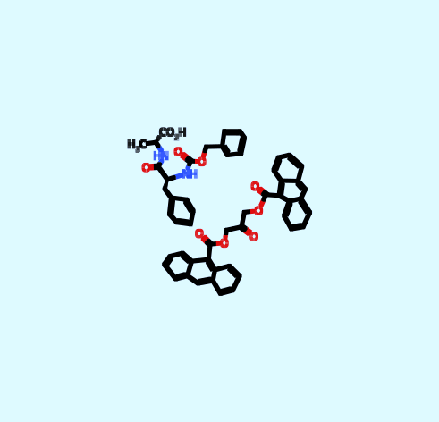 C[C@H](NC(=O)[C@H](Cc1ccccc1)NC(=O)OCc1ccccc1)C(=O)O.O=C(COC(=O)c1c2ccccc2cc2ccccc12)COC(=O)c1c2ccccc2cc2ccccc12